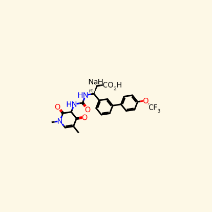 CC1=CN(C)C(=O)C(NC(=O)N[C@@H](CC(=O)O)c2cccc(-c3ccc(OC(F)(F)F)cc3)c2)C1=O.[NaH]